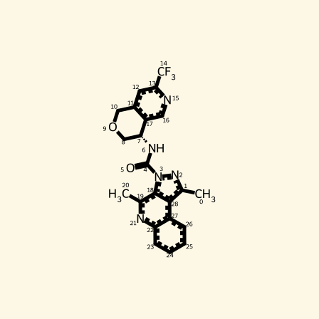 Cc1nn(C(=O)N[C@@H]2COCc3cc(C(F)(F)F)ncc32)c2c(C)nc3ccccc3c12